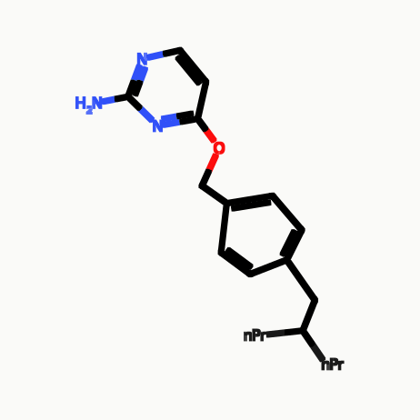 CCCC(CCC)Cc1ccc(COc2ccnc(N)n2)cc1